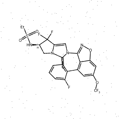 CCS(=O)(=O)N[C@@H]1Cn2c(cn(-c3noc4cc(OC(F)(F)F)cc(-c5c(F)cccc5F)c34)c2=O)C1(F)F